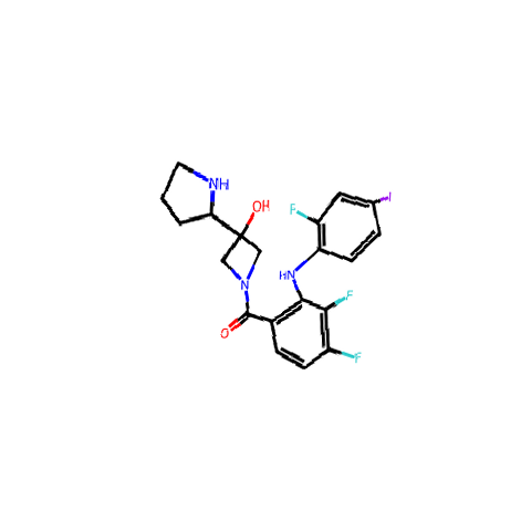 O=C(c1ccc(F)c(F)c1Nc1ccc(I)cc1F)N1CC(O)(C2CCCN2)C1